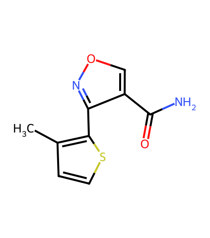 Cc1ccsc1-c1nocc1C(N)=O